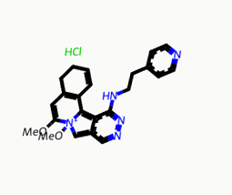 COC1=CC2=C(C=CCC2)C2=c3c(NCCc4ccncc4)nncc3=C[N+]12OC.Cl